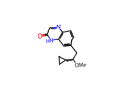 COC(Cc1ccc2ncc(=O)[nH]c2c1)=C1CC1